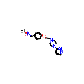 CCON=Cc1ccc(OCCN2CCN(c3cccnn3)CC2)cc1